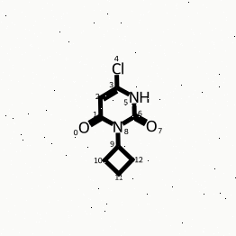 O=c1cc(Cl)[nH]c(=O)n1C1CCC1